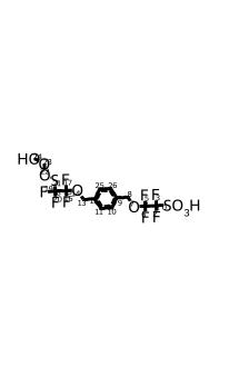 O=S(=O)(O)C(F)(F)C(F)(F)OCc1ccc(COC(F)(F)C(F)(F)SOOO)cc1